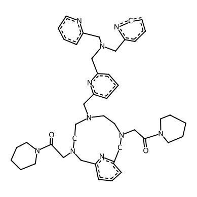 O=C(CN1CCN(Cc2cccc(CN(Cc3ccccn3)Cc3ccccn3)n2)CCN(CC(=O)N2CCCCC2)Cc2cccc(n2)C1)N1CCCCC1